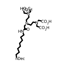 CCCCCCCCCCCCCCCCCCNC(=O)CN(CCN(CC(=O)O)CC(=O)O)CCN(CC(=O)O)CC(=O)O